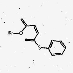 C=C(/C=C\C(=C)Sc1ccccc1)OC(C)C